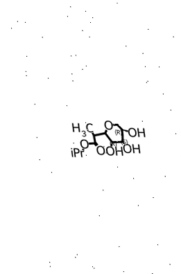 CC(C)OC(=O)C(C)C1OC[C@@H](O)[C@H](O)[C@H]1O